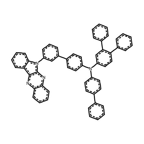 c1ccc(-c2ccc(N(c3ccc(-c4cccc(-n5c6ccccc6c6nc7ccccc7nc65)c4)cc3)c3ccc(-c4ccccc4)c(-c4ccccc4)c3)cc2)cc1